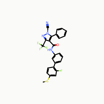 CSc1ccc(-c2cccc(NC(=O)c3c(C(F)(F)F)nn(C#N)c3-c3ccccc3)c2)c(F)c1